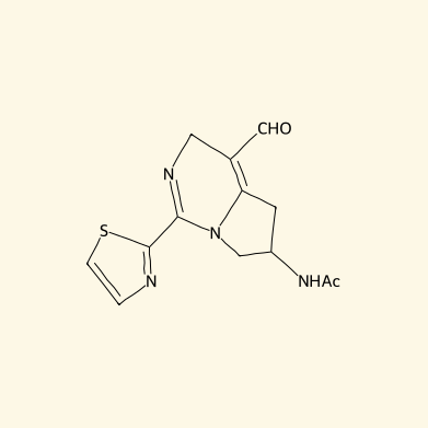 CC(=O)NC1CC2=C(C=O)CN=C(c3nccs3)N2C1